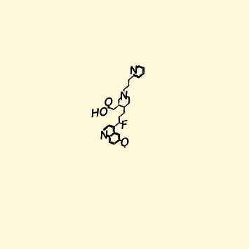 COc1ccc2nccc([C@H](F)CC[C@@H]3CCN(CCCc4ccccn4)C[C@@H]3CC(=O)O)c2c1